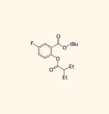 CCC(CC)C(=O)Oc1ccc(F)cc1C(=O)OC(C)(C)C